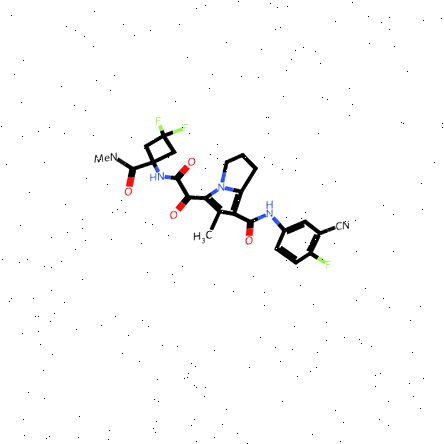 CNC(=O)C1(NC(=O)C(=O)c2c(C)c(C(=O)Nc3ccc(F)c(C#N)c3)c3n2CCC3)CC(F)(F)C1